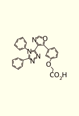 O=C(O)COc1cccc(-c2ocnc2-c2nnc(-c3ccccc3)n2-c2ccccc2)c1